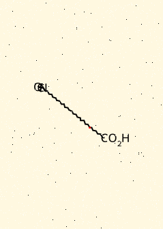 O=C=NCCCCCCCCCCCCCCCCCCCCCCCCCCCCCC(=O)O